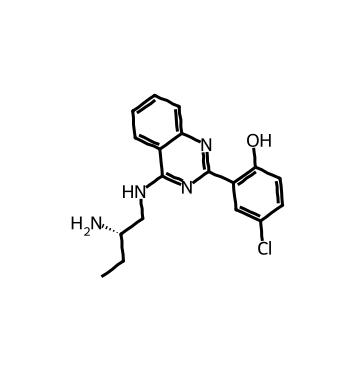 CC[C@H](N)CNc1nc(-c2cc(Cl)ccc2O)nc2ccccc12